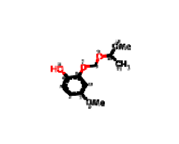 COc1ccc(O)c(OCOC(C)OC)c1